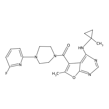 Cc1oc2ncnc(NC3(C)CC3)c2c1C(=O)N1CCN(c2cccc(F)n2)CC1